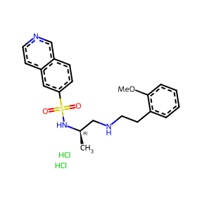 COc1ccccc1CCNC[C@@H](C)NS(=O)(=O)c1ccc2cnccc2c1.Cl.Cl